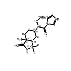 CCCCON(C(=O)n1ccnc1)[C@@H]1CC[C@H]2C(=O)N[Si](C)(C)N2C1